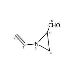 C=CN1CC1C=O